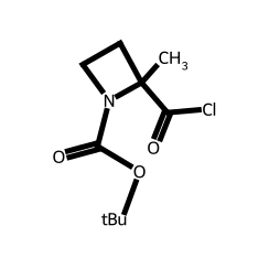 CC(C)(C)OC(=O)N1CCC1(C)C(=O)Cl